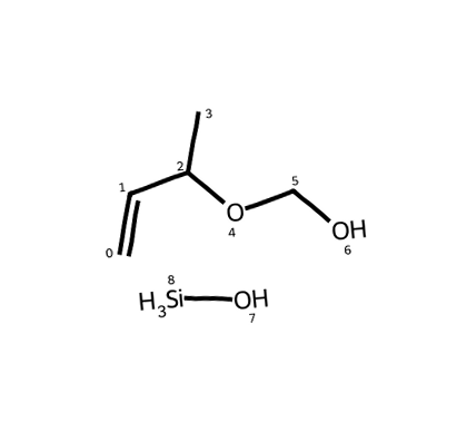 C=CC(C)OCO.O[SiH3]